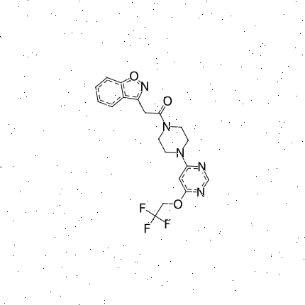 O=C(Cc1noc2ccccc12)N1CCN(c2cc(OCC(F)(F)F)ncn2)CC1